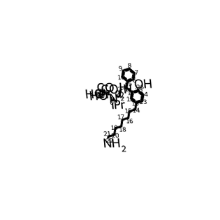 CC(C)N(CC[C@H](c1ccccc1)c1cc(CCCCCCCCN)ccc1O)C(C)C.O=C(O)O.O=C(O)O